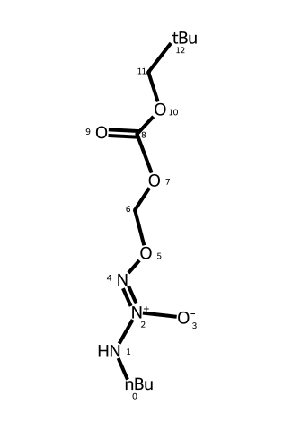 CCCCN/[N+]([O-])=N/OCOC(=O)OCC(C)(C)C